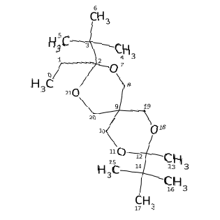 CCC1(C(C)(C)C)OCC2(COC(C)(C(C)(C)C)OC2)CO1